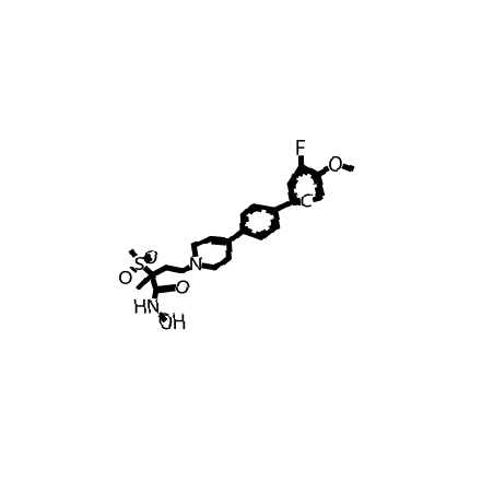 COc1ccc(-c2ccc(C3=CCN(CCC(C)(C(=O)NO)S(C)(=O)=O)CC3)cc2)cc1F